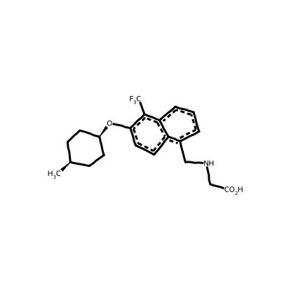 C[C@H]1CC[C@@H](Oc2ccc3c(CNCC(=O)O)cccc3c2C(F)(F)F)CC1